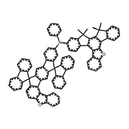 CC1(C)c2ccccc2-c2c1c1c(c3c2oc2ccccc23)-c2ccc(N(c3ccccc3)c3ccc4c(c3)C3(c5ccccc5-c5ccccc53)c3cc5c(cc3-4)C3(c4ccccc4-c4ccccc43)c3ccc4oc6ccccc6c4c3-5)cc2C1(C)C